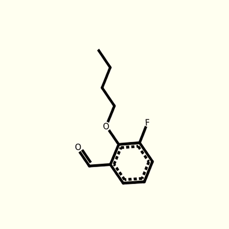 CCCCOc1c(F)cccc1C=O